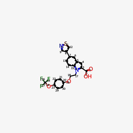 O=C(O)c1cc2cc(-c3cnsc3)ccc2n1CCOc1ccc(OC(F)(F)F)cc1